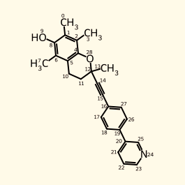 Cc1c(C)c2c(c(C)c1O)CCC(C)(C#Cc1ccc(-c3cccnc3)cc1)O2